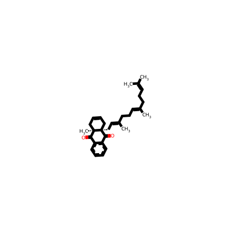 CC(C)=CCC/C(C)=C/CC/C(C)=C/C[C@@]12CC=CC[C@]1(C)C(=O)c1ccccc1C2=O